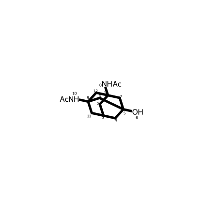 CC(=O)NC12CC3CC(O)(C1)CC(NC(C)=O)(C3)C2